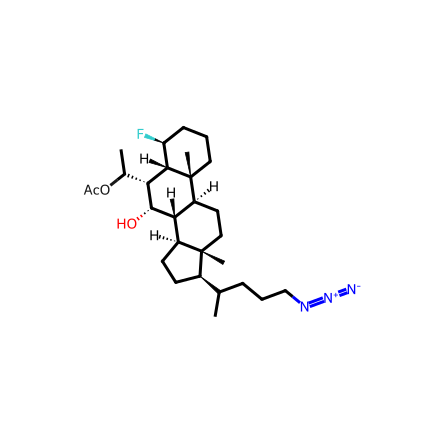 CC(=O)OC(C)[C@H]1[C@@H](O)[C@@H]2[C@H](CC[C@]3(C)[C@@H](C(C)CCCN=[N+]=[N-])CC[C@@H]23)[C@@]2(C)CCC[C@H](F)[C@@H]12